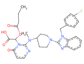 CCCC(=O)OC(C(=O)O)n1c(N(C)C2CCN(c3nc4ccccc4n3Cc3ccc(F)cc3)CC2)nccc1=O